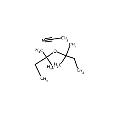 CC#N.CCC(C)(C)OC(C)(C)CC